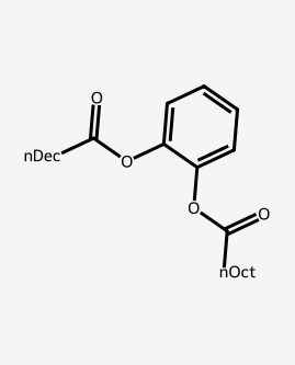 CCCCCCCCCCC(=O)Oc1ccccc1OC(=O)CCCCCCCC